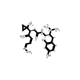 C=C(/C=C\C=N/C)[C@H](CC(=O)NC[C@H](Cc1ccc(O)cc1Cl)N(C)C)C1(C(F)(F)F)CC1